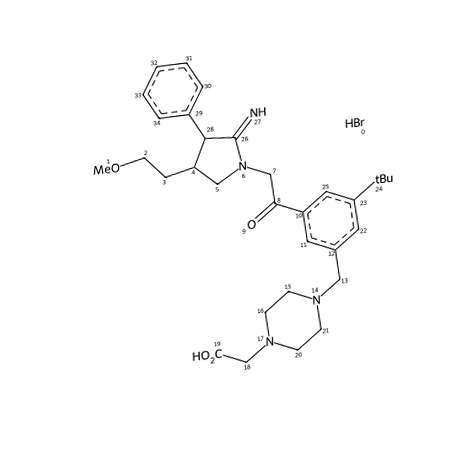 Br.COCCC1CN(CC(=O)c2cc(CN3CCN(CC(=O)O)CC3)cc(C(C)(C)C)c2)C(=N)C1c1ccccc1